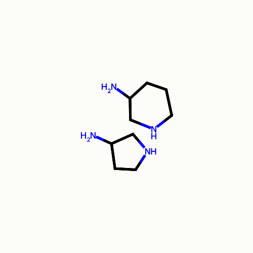 NC1CCCNC1.NC1CCNC1